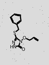 C=CCOn1c(SCc2ccccc2)n[nH]c1=O